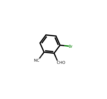 N#Cc1cccc(Br)c1C=O